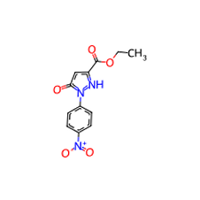 CCOC(=O)c1cc(=O)n(-c2ccc([N+](=O)[O-])cc2)[nH]1